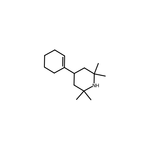 CC1(C)CC(C2=CCCCC2)CC(C)(C)N1